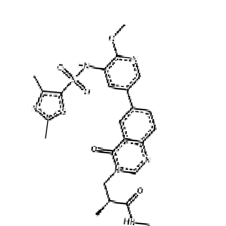 CNC(=O)[C@@H](C)Cn1cnc2ccc(-c3cnc(OC)c(NS(=O)(=O)c4sc(C)nc4C)c3)cc2c1=O